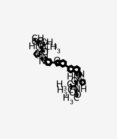 COC(=O)N[C@H](C(=O)N1CCC[C@H]1c1nc2ccc(-c3cc4cc(-c5ccc6c(ccc7nc([C@@H]8CCCN8C(=O)[C@@H](NC(=O)OC)C(C)C)[nH]c76)c5)ccc4o3)cc2[nH]1)C(C)C